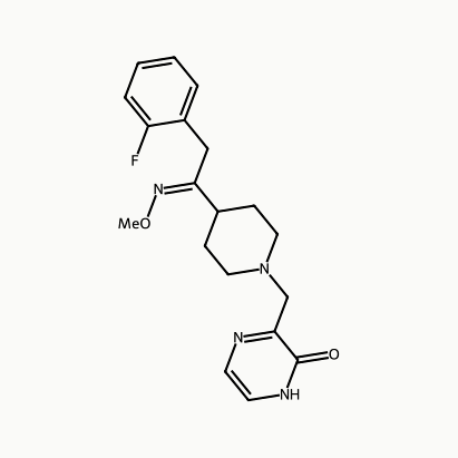 CON=C(Cc1ccccc1F)C1CCN(Cc2ncc[nH]c2=O)CC1